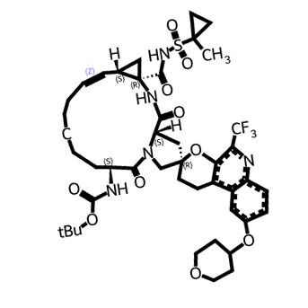 CC(C)(C)OC(=O)N[C@H]1CCCCC/C=C\[C@@H]2C[C@@]2(C(=O)NS(=O)(=O)C2(C)CC2)NC(=O)[C@@H]2C[C@]3(CCc4c(c(C(F)(F)F)nc5ccc(OC6CCOCC6)cc45)O3)CN2C1=O